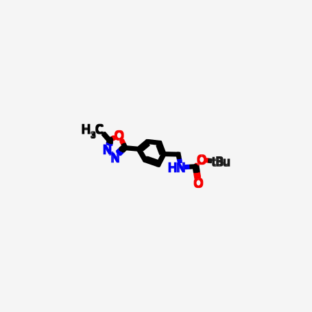 Cc1nnc(-c2ccc(CNC(=O)OC(C)(C)C)cc2)o1